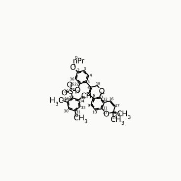 CCCOc1ccc(C2=Cc3ccc4c(c3OC2)C=CC(C)(C)O4)c(OS(=O)(=O)c2c(C)cc(C)cc2C)c1